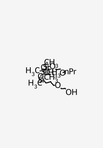 CCCOCCO[Si](C)(C)O[Si](C)(C)O[Si](C)(C)CCCOCCO